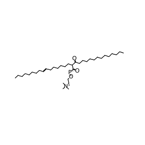 CCCCCCCCC=CCCCCCCC(C(=O)CCCCCCCCCCCCC)C(=O)[P-]OCC[N+](C)(C)C